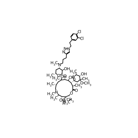 CC[C@H]1OC(=O)[C@H](C)[C@@H](C2C[C@@](C)(OC)[C@@H](O)[C@H](C)O2)[C@H](C)[C@@H](O[C@@H]2O[C@H](C)C[C@H](N(C)CCCc3cn(CCc4ccc(Cl)c(Cl)c4)nn3)[C@H]2O)[C@](C)(O)C[C@@H](C)CN(C)[C@H](C)[C@@H](O)[C@]1(C)O